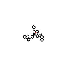 c1ccc(-c2ccc(N(c3ccc(-c4cccc5c4oc4ccccc45)cc3)c3ccc4c(oc5ccc6ccccc6c54)c3-c3ccccc3)cc2)cc1